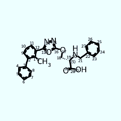 Cc1c(-c2ccccc2)cccc1-c1nnc(OC[C@H](NCc2ccccc2)C(=O)O)o1